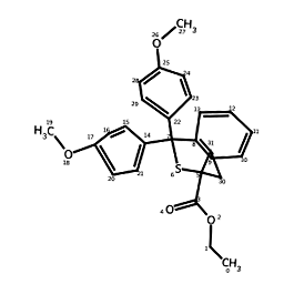 CCOC(=O)C1(SC(c2ccccc2)(c2ccc(OC)cc2)c2ccc(OC)cc2)CC1